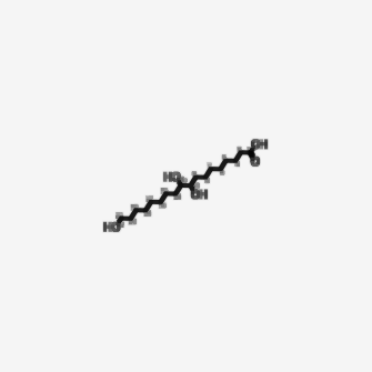 O=C(O)CCCCCCCC(O)C(O)CCCCCCCCO